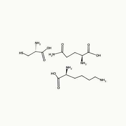 NC(=O)CC[C@H](N)C(=O)O.NCCCC[C@H](N)C(=O)O.N[C@@H](CS)C(=O)O